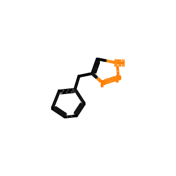 c1ccc(Cc2c[pH]pp2)cc1